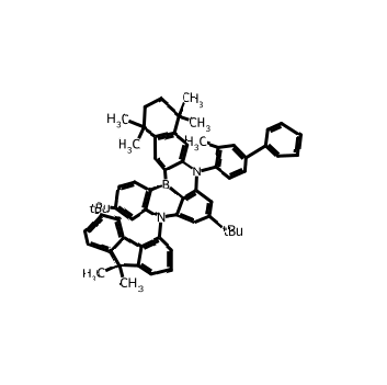 Cc1cc(-c2ccccc2)ccc1N1c2cc3c(cc2B2c4ccc(C(C)(C)C)cc4N(c4cccc5c4-c4ccccc4C5(C)C)c4cc(C(C)(C)C)cc1c42)C(C)(C)CCC3(C)C